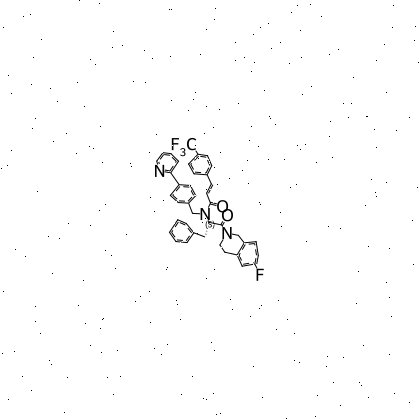 O=C([C@H](Cc1ccccc1)N(Cc1ccc(-c2ccccn2)cc1)C(=O)C=Cc1ccc(C(F)(F)F)cc1)N1CCc2cc(F)ccc2C1